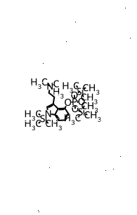 CN(C)CCc1cn([Si](C)(C)C)c2cccc(OP(=O)(O[Si](C)(C)C)O[Si](C)(C)C)c12